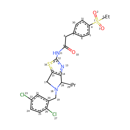 CCS(=O)(=O)c1ccc(CC(=O)Nc2nc3c(s2)CN(Cc2cc(Cl)ccc2Cl)C3C(C)C)cc1